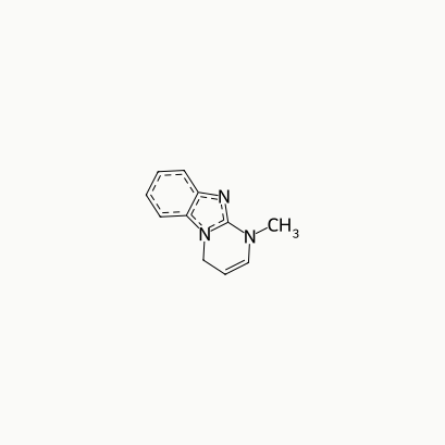 CN1C=CCn2c1nc1ccccc12